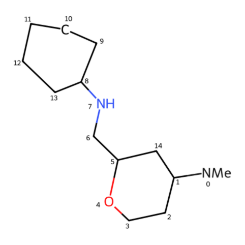 CNC1CCOC(CNC2CCCCC2)C1